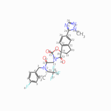 C[C@H](N(Cc1ccc(F)cc1)C(=O)CN1C(=O)O[C@@]2(CCc3cc(-c4ncnn4C)ccc32)C1=O)C(F)(F)F